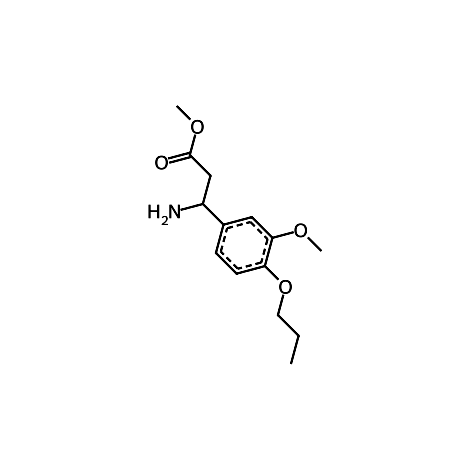 CCCOc1ccc(C(N)CC(=O)OC)cc1OC